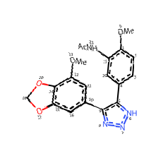 COc1ccc(-c2[nH]nnc2-c2cc(OC)c3c(c2)OCO3)cc1NC(C)=O